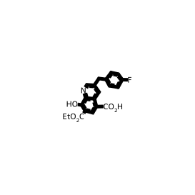 CCOC(=O)c1cc(C(=O)O)c2cc(Cc3ccc(F)cc3)cnc2c1O